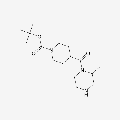 CC1CNCCN1C(=O)C1CCN(C(=O)OC(C)(C)C)CC1